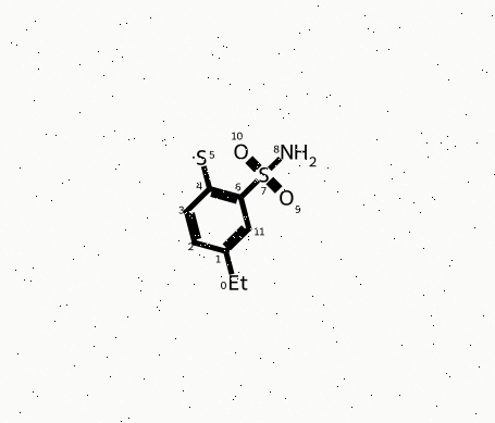 CCc1ccc([S])c(S(N)(=O)=O)c1